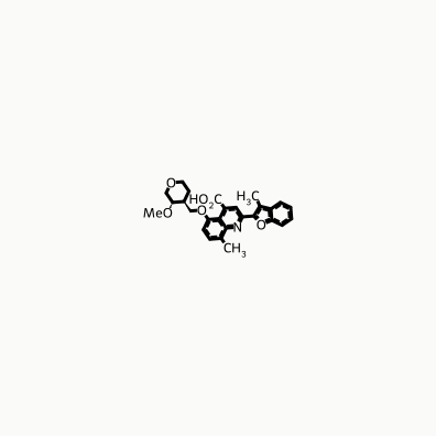 CO[C@@H]1COCC[C@H]1COc1ccc(C)c2nc(-c3oc4ccccc4c3C)cc(C(=O)O)c12